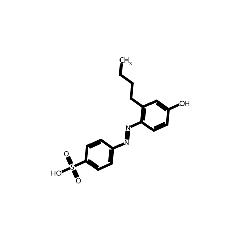 CCCCc1cc(O)ccc1N=Nc1ccc(S(=O)(=O)O)cc1